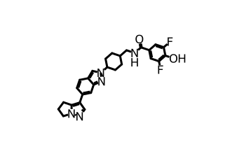 O=C(NCC1CCC(n2cc3ccc(-c4cnn5c4CCC5)cc3n2)CC1)c1cc(F)c(O)c(F)c1